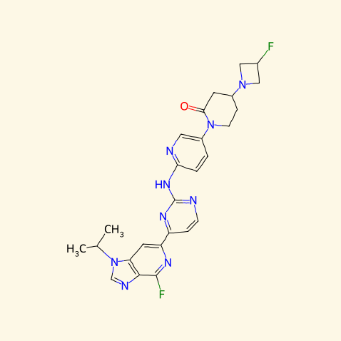 CC(C)n1cnc2c(F)nc(-c3ccnc(Nc4ccc(N5CCC(N6CC(F)C6)CC5=O)cn4)n3)cc21